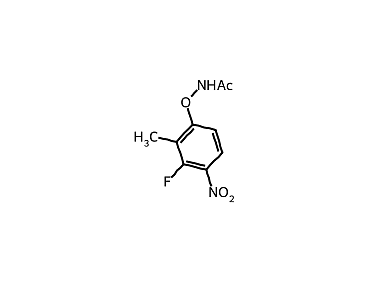 CC(=O)NOc1ccc([N+](=O)[O-])c(F)c1C